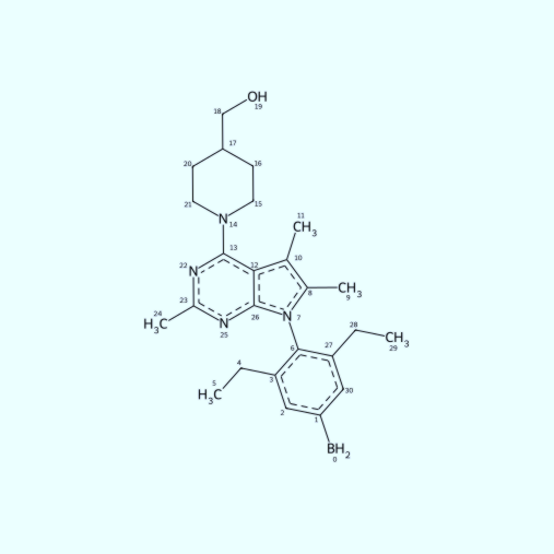 Bc1cc(CC)c(-n2c(C)c(C)c3c(N4CCC(CO)CC4)nc(C)nc32)c(CC)c1